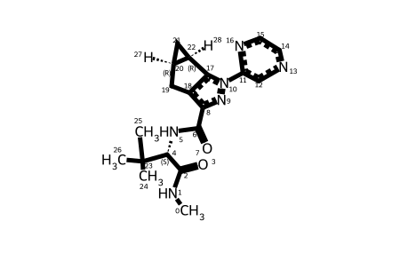 CNC(=O)[C@@H](NC(=O)c1nn(-c2cnccn2)c2c1C[C@H]1C[C@@H]21)C(C)(C)C